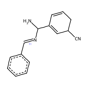 N#CC1C=C(C(N)/N=C/c2ccccc2)C=CC1